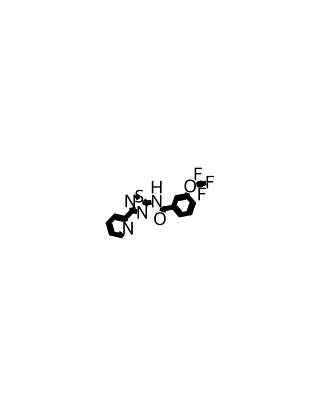 O=C(Nc1nc(-c2ccccn2)ns1)c1cccc(OC(F)(F)F)c1